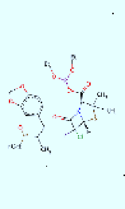 CCCCCCCC[S+]([O-])C(C)Cc1ccc2c(c1)OCO2.CCOP(OCC)OC(=O)[C@@H]1N2C(=O)C(Cl)(I)[C@H]2SC1(C)C